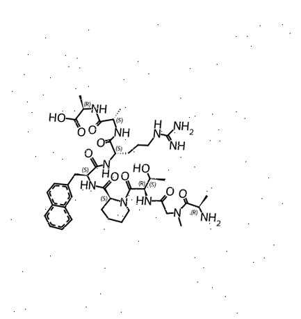 C[C@H](NC(=O)[C@H](CCCNC(=N)N)NC(=O)[C@H](Cc1ccc2ccccc2c1)NC(=O)[C@@H]1CCCCN1C(=O)[C@H](NC(=O)CN(C)C(=O)[C@@H](C)N)[C@H](C)O)C(=O)N[C@H](C)C(=O)O